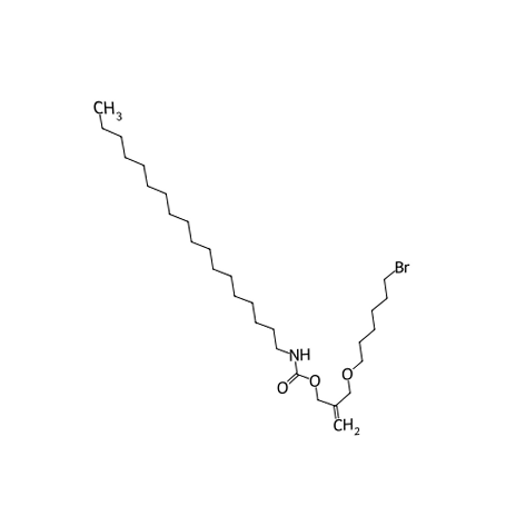 C=C(COCCCCCCBr)COC(=O)NCCCCCCCCCCCCCCCCCC